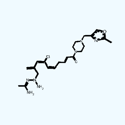 C=C(/C=C(Cl)\C=C/C/C=C/C(=O)N1CCN(Cc2coc(C)n2)CC1)CN(N)/N=C(/C)N